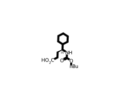 CCCCOC(=O)N[C@@H](CCC(=O)O)C1CCCCC1